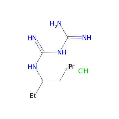 CCC(CC(C)C)NC(=N)NC(=N)N.Cl